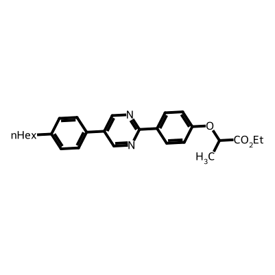 CCCCCCc1ccc(-c2cnc(-c3ccc(OC(C)C(=O)OCC)cc3)nc2)cc1